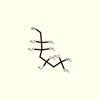 CC(C)(C)CC(C)(C)C(C)(C)CC(C)(C)CC(C)(C)N